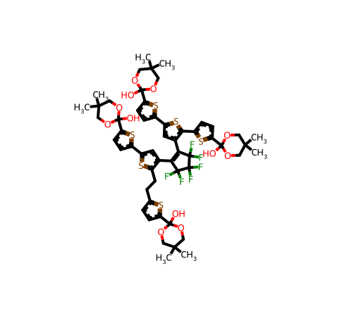 CC1(C)COC(O)(c2ccc(CCc3sc(-c4ccc(C5(O)OCC(C)(C)CO5)s4)cc3C3=C(c4cc(-c5ccc(C6(O)OCC(C)(C)CO6)s5)sc4-c4ccc(C5(O)OCC(C)(C)CO5)s4)C(F)(F)C(F)(F)C3(F)F)s2)OC1